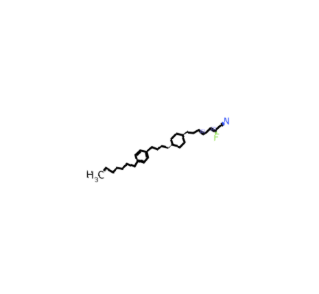 CCCCCCCc1ccc(CCCC[C@H]2CC[C@H](CC/C=C/C=C(\F)C#N)CC2)cc1